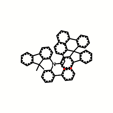 CCc1ccc2cccc3c2c1C1(c2ccccc2-c2ccc(N(c4ccccc4-c4ccccc4)c4cccc5c4C(C)(C)c4ccccc4-5)cc21)c1ccccc1-3